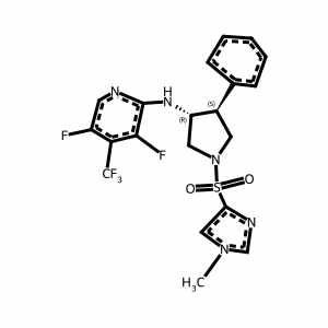 Cn1cnc(S(=O)(=O)N2C[C@H](Nc3ncc(F)c(C(F)(F)F)c3F)[C@@H](c3ccccc3)C2)c1